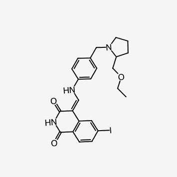 CCOCC1CCCN1Cc1ccc(N/C=C2\C(=O)NC(=O)c3ccc(I)cc32)cc1